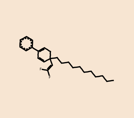 CCCCCCCCCCCC1(C=C(F)F)C=CC(c2ccccc2)=CC1